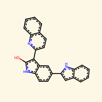 Oc1[nH]c2ccc(-c3cc4ccccc4[nH]3)cc2c1-c1ccc2ccccc2n1